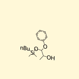 CCCC[Si](C)(C)OC(Oc1ccccc1)C(C)O